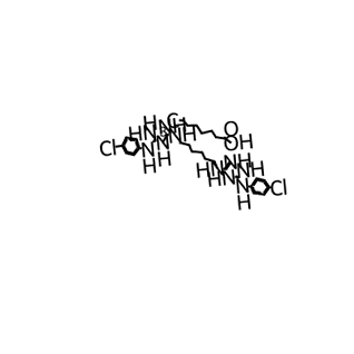 CCCCCCCC(=O)O.N=C(NCCCCCCNC(=N)NC(=N)Nc1ccc(Cl)cc1)NC(=N)Nc1ccc(Cl)cc1